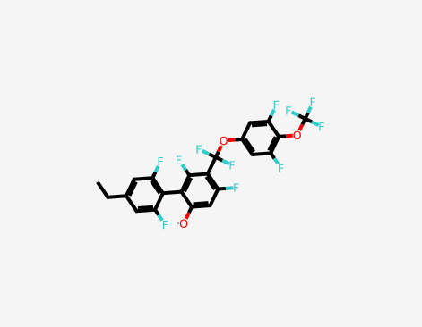 CCc1cc(F)c(-c2c([O])cc(F)c(C(F)(F)Oc3cc(F)c(OC(F)(F)F)c(F)c3)c2F)c(F)c1